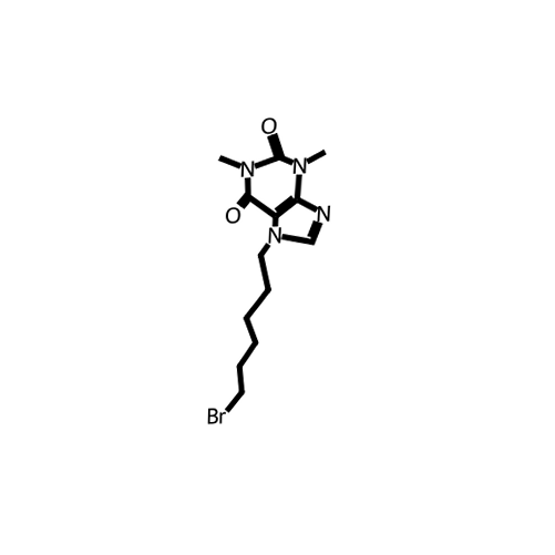 Cn1c(=O)c2c(ncn2CCCCCCBr)n(C)c1=O